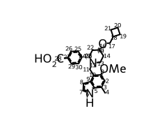 COc1cc(C)c2[nH]ccc2c1CN1CC[C@H](OCC2CCC2)C[C@H]1c1ccc(C(=O)O)cc1